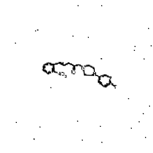 O=C(CC=Cc1ccccc1[N+](=O)[O-])CN1CCN(c2ccc(F)cc2)CC1